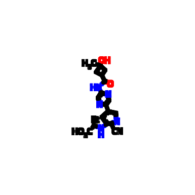 CC[C@H](Nc1cc(-c2cnc(NC(=O)C3CC(C)(O)C3)cn2)cnc1C#N)C(=O)O